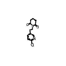 O=C1CCCC(=O)N1CCc1ccc(Cl)nc1